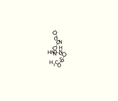 CC(=O)c1ccc(-c2cccc3[nH]c(-c4n[nH]c5ccc(-c6cncc(OCc7ccccc7)c6)cc45)cc23)s1